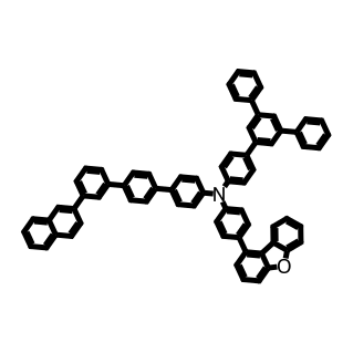 c1ccc(-c2cc(-c3ccccc3)cc(-c3ccc(N(c4ccc(-c5ccc(-c6cccc(-c7ccc8ccccc8c7)c6)cc5)cc4)c4ccc(-c5cccc6oc7ccccc7c56)cc4)cc3)c2)cc1